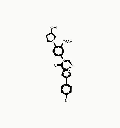 COc1cc(-n2cnn3cc(-c4ccc(Cl)cc4)cc3c2=O)ccc1N1CC[C@@H](O)C1